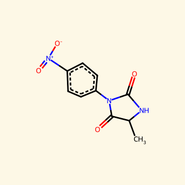 CC1NC(=O)N(c2ccc([N+](=O)[O-])cc2)C1=O